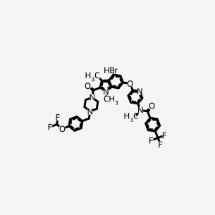 Br.Cc1c(C(=O)N2CCN(Cc3ccc(OC(F)F)cc3)CC2)n(C)c2cc(Oc3ccc(N(C)C(=O)c4ccc(C(F)(F)F)cc4)cn3)ccc12